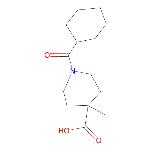 CC1(C(=O)O)CCN(C(=O)C2CCCCC2)CC1